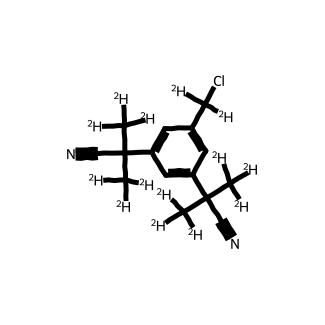 [2H]C([2H])(Cl)c1cc(C(C#N)(C([2H])([2H])[2H])C([2H])([2H])[2H])cc(C(C#N)(C([2H])([2H])[2H])C([2H])([2H])[2H])c1